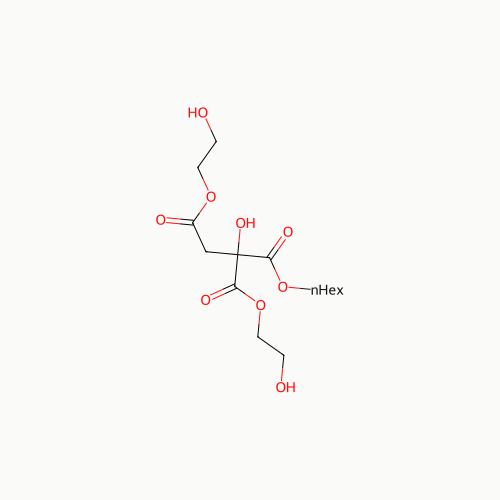 CCCCCCOC(=O)C(O)(CC(=O)OCCO)C(=O)OCCO